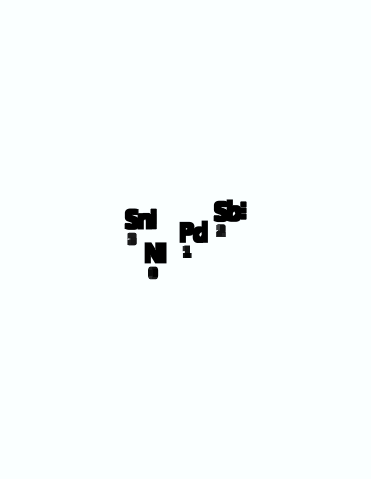 [Ni].[Pd].[Sb].[Sn]